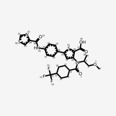 COCC(C)N(C(=O)C1CCC(C(F)(F)F)CC1)c1cc(-c2ccc(NC(=O)c3cscn3)cc2)sc1C(=O)O